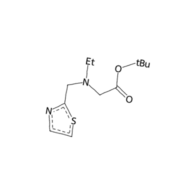 CCN(CC(=O)OC(C)(C)C)Cc1nccs1